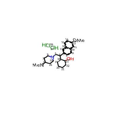 CNC1CCN(CC(c2ccc3cc(OC)ccc3c2)C2CCCCC2O)CC1.Cl.Cl